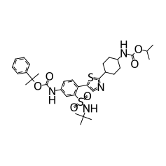 CC(C)OC(=O)NC1CCC(c2ncc(-c3ccc(NC(=O)OC(C)(C)c4ccccc4)cc3S(=O)(=O)NC(C)(C)C)s2)CC1